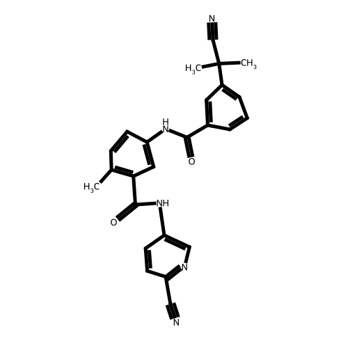 Cc1ccc(NC(=O)c2cccc(C(C)(C)C#N)c2)cc1C(=O)Nc1ccc(C#N)nc1